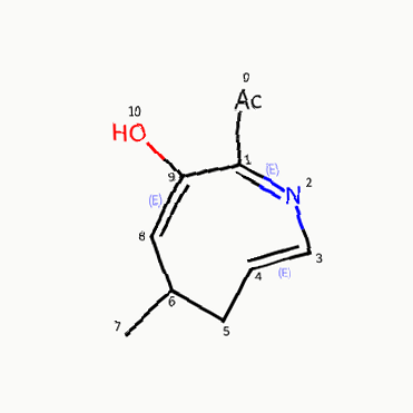 CC(=O)C1=N/C=C/CC(C)/C=C\1O